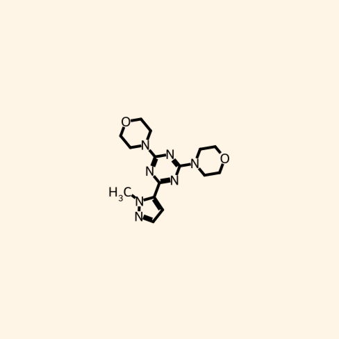 Cn1nccc1-c1nc(N2CCOCC2)nc(N2CCOCC2)n1